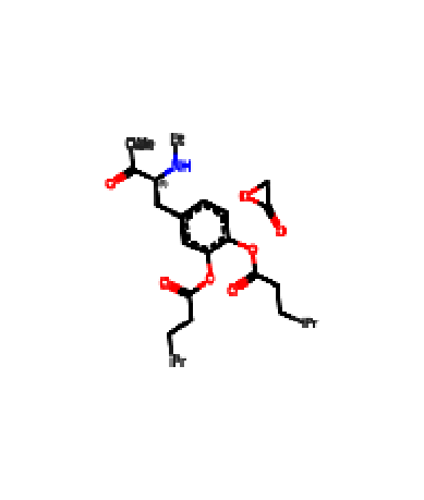 CCN[C@@H](Cc1ccc(OC(=O)CCC(C)C)c(OC(=O)CCC(C)C)c1)C(=O)OC.O=C1CO1